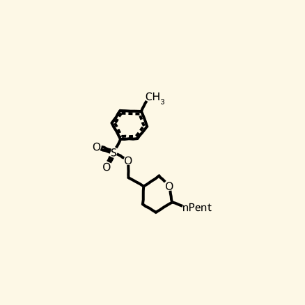 CCCCCC1CCC(COS(=O)(=O)c2ccc(C)cc2)CO1